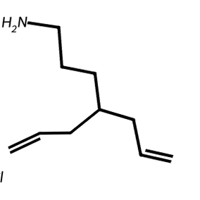 C=CCC(CC=C)CCCN.Cl